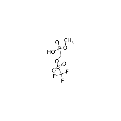 COP(=O)(O)COS(=O)(=O)C(F)(F)F